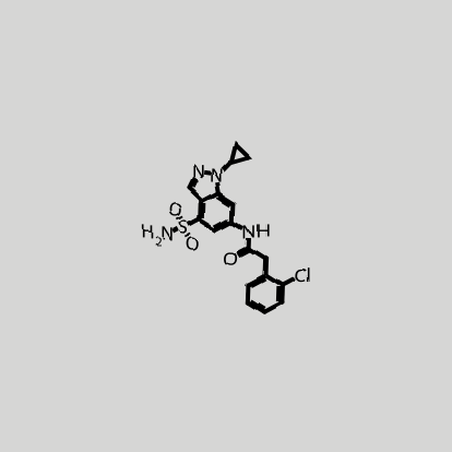 NS(=O)(=O)c1cc(NC(=O)Cc2ccccc2Cl)cc2c1cnn2C1CC1